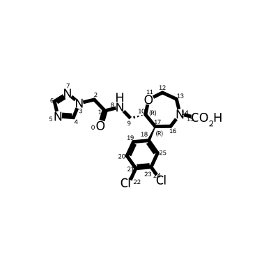 O=C(Cn1cncn1)NC[C@@H]1OCCN(C(=O)O)C[C@H]1c1ccc(Cl)c(Cl)c1